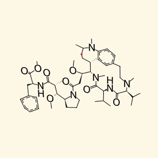 CC[C@H](C)[C@@H]([C@@H](CC(=O)N1CCC[C@H]1[C@H](OC)[C@@H](C)C(=O)N[C@@H](Cc1ccccc1)C(=O)OC)OC)N(C)C(=O)[C@@H](NC(=O)[C@H](C(C)C)N(C)CCc1ccc(N(C)C(C)C)cc1)C(C)C